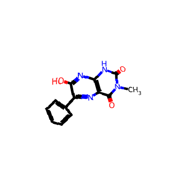 Cn1c(=O)[nH]c2nc(O)c(-c3ccccc3)nc2c1=O